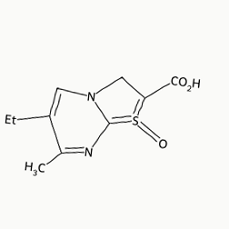 CCC1=CN2CC(C(=O)O)=S(=O)=C2N=C1C